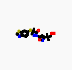 CC(C)(Sc1ccc2ncsc2c1)C(=O)Nc1cc(C(C)(C)CO)no1